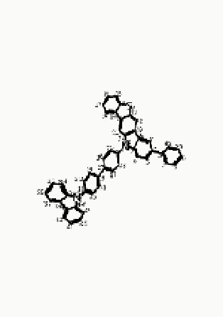 c1ccc(-c2ccc3c(c2)c2cc4sc5ccccc5c4cc2n3-c2ccc(-c3ccc(-n4c5ccccc5c5ccccc54)cc3)cc2)cc1